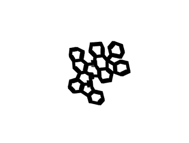 c1ccc(C2(c3ccccc3)c3ccccc3N3c4c(cccc42)B2c4c(cc5ccccc5c43)-c3cccc4c5ccccc5n2c34)cc1